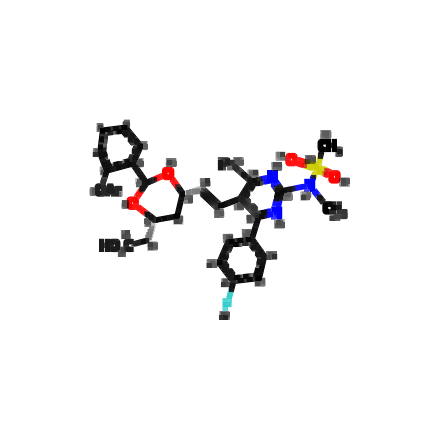 CC(=O)Oc1ccccc1C1O[C@@H](CC(=O)O)C[C@@H](/C=C/c2c(-c3ccc(F)cc3)nc(N(C)S(C)(=O)=O)nc2C(C)C)O1